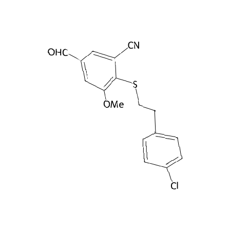 COc1cc(C=O)cc(C#N)c1SCCc1ccc(Cl)cc1